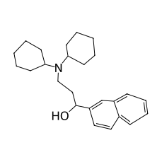 OC(CCN(C1CCCCC1)C1CCCCC1)c1ccc2ccccc2c1